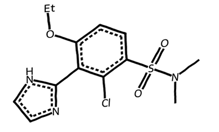 CCOc1ccc(S(=O)(=O)N(C)C)c(Cl)c1-c1ncc[nH]1